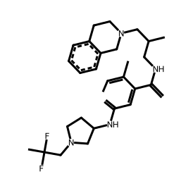 C=C(/C=C(C(=C)NCC(C)CN1CCc2ccccc2C1)\C(C)=C/C)NC1CCN(CC(C)(F)F)C1